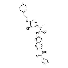 CC(C(=O)Nc1nc2ccc(NC(=O)c3cscn3)cc2s1)c1ccc(OCCN2CCOCC2)c(Cl)c1